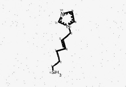 [SiH3]CCCC=CCn1ccnc1